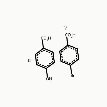 O=C(O)c1ccc(Br)cc1.O=C(O)c1ccc(O)cc1.[Cr].[V]